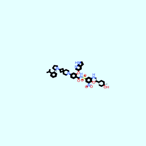 CC(C)c1ccccc1[C@@H]1CCCN1C1CC2(CCN(c3ccc(C(=O)NS(=O)(=O)c4cc5c(c([N+](=O)[O-])c4)O[C@@H]([C@H]4CC[C@](C)(O)CC4)CN5)c(Oc4cnc5[nH]ccc5c4)c3)CC2)C1